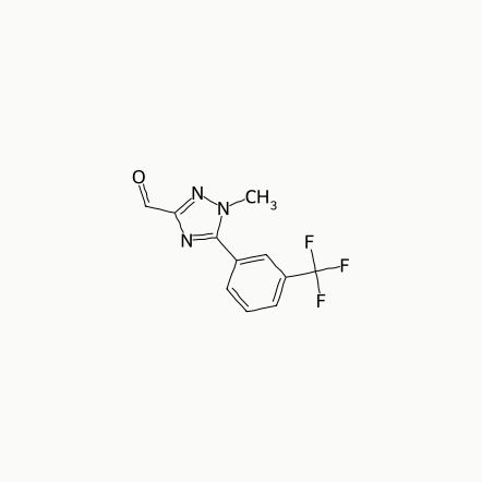 Cn1nc(C=O)nc1-c1cccc(C(F)(F)F)c1